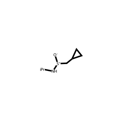 CC(C)N[S+]([O-])CC1CC1